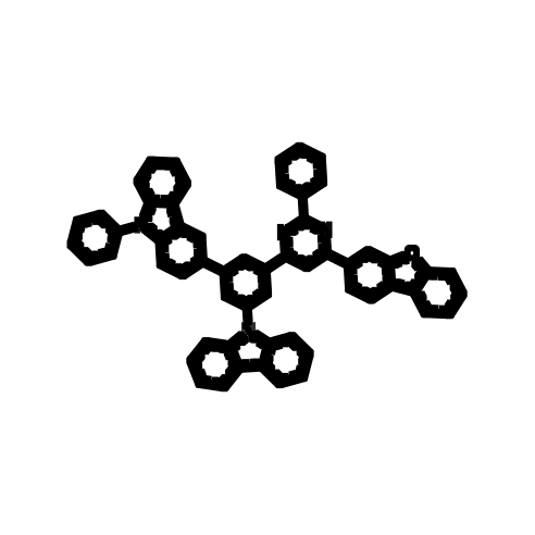 c1ccc(-c2nc(-c3cc(-c4ccc5c(c4)c4ccccc4n5-c4ccccc4)cc(-n4c5ccccc5c5ccccc54)c3)cc(-c3ccc4c(c3)oc3ccccc34)n2)cc1